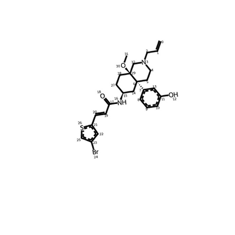 C=CCN1CC[C@@]2(c3cccc(O)c3)C[C@@H](NC(=O)/C=C/c3cc(Br)cs3)CC[C@]2(OC)C1